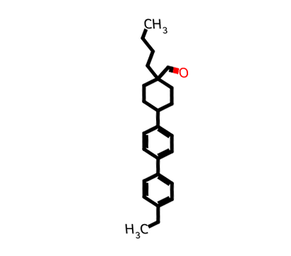 CCCCC1(C=O)CCC(c2ccc(-c3ccc(CC)cc3)cc2)CC1